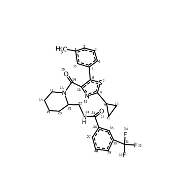 Cc1cccc(-c2sc(C3CC3)nc2C(=O)N2CCCCC2CNC(=O)c2cccc(C(F)(F)F)c2)c1